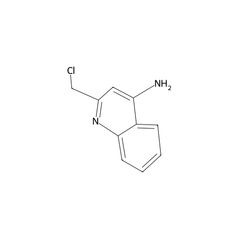 Nc1cc(CCl)nc2ccccc12